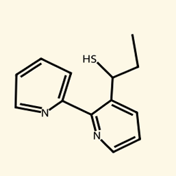 CCC(S)c1cccnc1-c1ccccn1